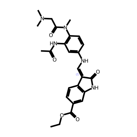 CCOC(=O)c1ccc2c(c1)NC(=O)/C2=C\Nc1ccc(N(C)C(=O)CN(C)C)c(NC(C)=O)c1